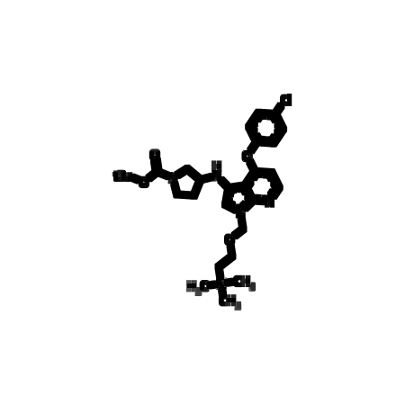 CC(C)(C)OC(=O)N1CCC(Nc2cn(COCC[Si](C)(C)C)c3nccc(Oc4ccc(Cl)cc4)c23)C1